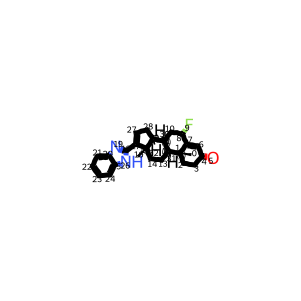 C[C@]12CCC(=O)C=C1C(F)C[C@@H]1[C@@H]2CC[C@]2(C)C(c3nc4ccccc4[nH]3)=CC[C@@H]12